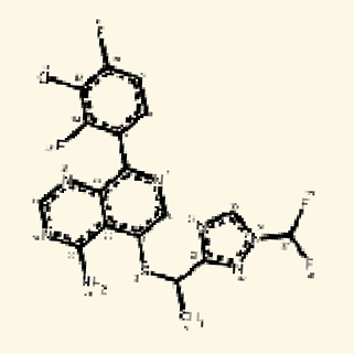 CC(Sc1cnc(-c2ccc(F)c(Cl)c2F)c2ncnc(N)c12)c1ncn(C(F)F)n1